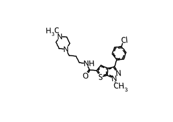 CN1CCN(CCCNC(=O)c2cc3c(-c4ccc(Cl)cc4)nn(C)c3s2)CC1